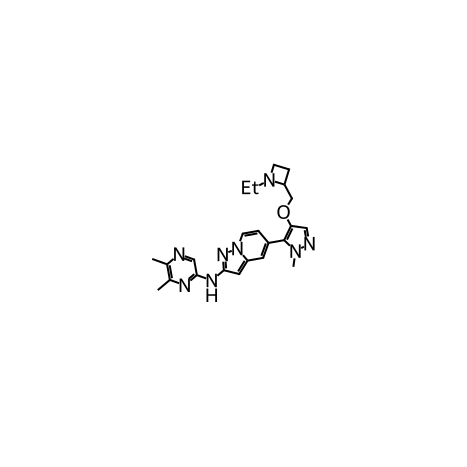 CCN1CCC1COc1cnn(C)c1-c1ccn2nc(Nc3cnc(C)c(C)n3)cc2c1